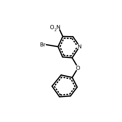 O=[N+]([O-])c1cnc(Oc2ccccc2)cc1Br